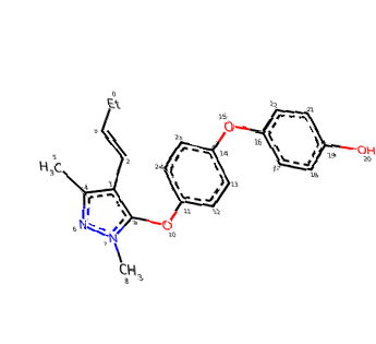 CC/C=C/c1c(C)nn(C)c1Oc1ccc(Oc2ccc(O)cc2)cc1